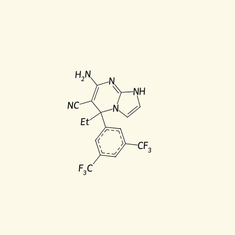 CCC1(c2cc(C(F)(F)F)cc(C(F)(F)F)c2)C(C#N)=C(N)N=C2NC=CN21